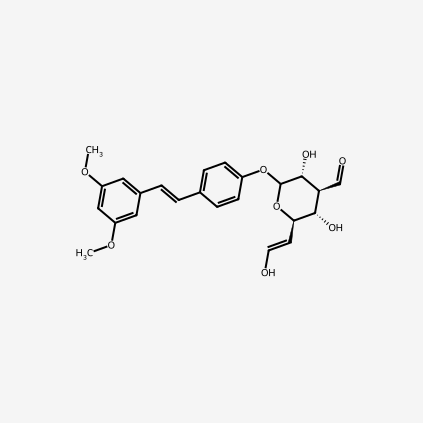 COc1cc(/C=C/c2ccc(OC3O[C@H](C=CO)[C@@H](O)[C@H](C=O)[C@H]3O)cc2)cc(OC)c1